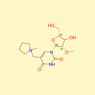 CO[C@H]1C(O)[C@@H](CO)O[C@H]1n1cc(C[N+]2(C)CCCC2)c(=O)[nH]c1=O